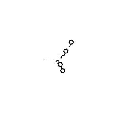 CCOC(=O)c1oc2cc(-c3ccc(Cl)cc3)ccc2c1NC(=O)CCc1ccc(OCc2ccccc2)cc1